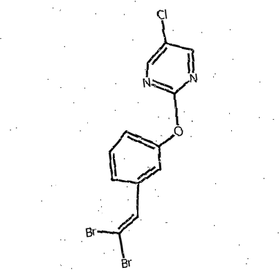 Clc1cnc(Oc2cccc(C=C(Br)Br)c2)nc1